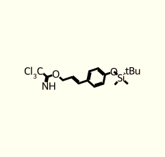 CC(C)(C)[Si](C)(C)Oc1ccc(C=CCOC(=N)C(Cl)(Cl)Cl)cc1